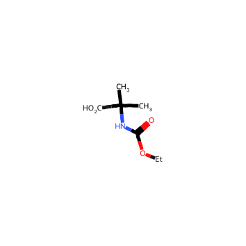 CCOC(=O)NC(C)(C)C(=O)O